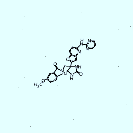 COc1ccc2c(c1)C(=O)N(C[C@@]1(c3cc4nc(Nc5ncccn5)ccc4o3)NC(=O)NC1=O)C2